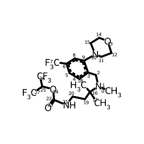 CN(Cc1ccc(C(F)(F)F)cc1N1CCOCC1)C(C)(C)CCNC(=O)OC(C(F)(F)F)C(F)(F)F